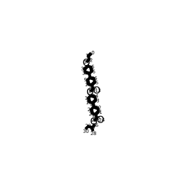 C=CCOc1ccc(-c2ccc(C(=O)Oc3ccc(-c4ccc(C(=O)OCC(C)CC)cc4)cc3)cc2)cc1